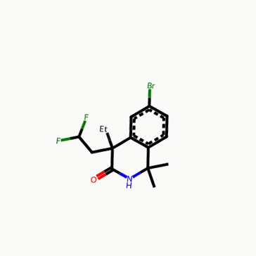 CCC1(CC(F)F)C(=O)NC(C)(C)c2ccc(Br)cc21